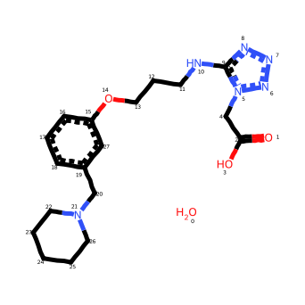 O.O=C(O)Cn1nnnc1NCCCOc1cccc(CN2CCCCC2)c1